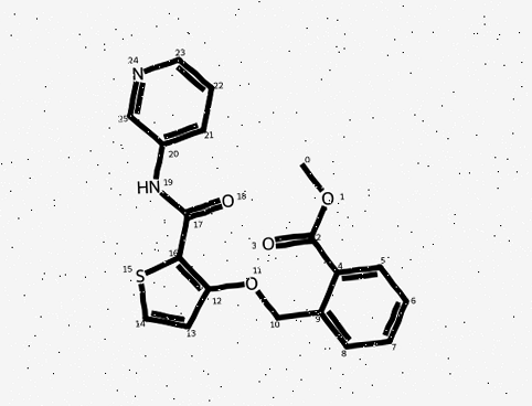 COC(=O)c1ccccc1COc1ccsc1C(=O)Nc1cccnc1